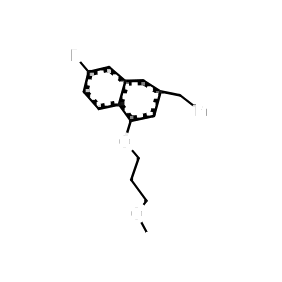 COCCCOc1cc(CBr)cc2cc(F)ccc12